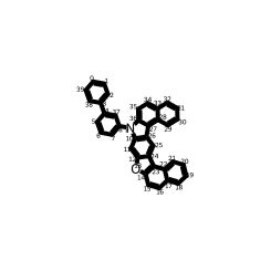 c1ccc(-c2cccc(-n3c4cc5oc6ccc7ccccc7c6c5cc4c4c5ccccc5ccc43)c2)cc1